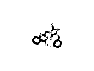 Cc1nc(CN2C(=O)N[C@@H](Cc3ccccc3)C2=O)nc2ccccc12